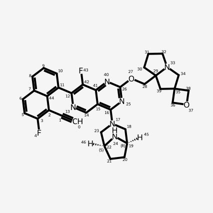 C#Cc1c(F)ccc2cccc(-c3ncc4c(N5C[C@H]6CC[C@@H](C5)N6)nc(OCC56CCCN5CC5(COC5)C6)nc4c3F)c12